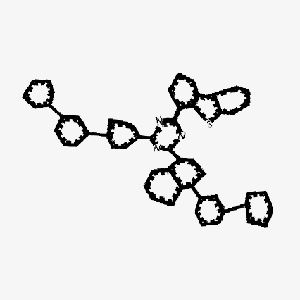 c1ccc(-c2cccc(-c3ccc(-c4nc(-c5ccc(-c6cccc(-c7ccccc7)c6)c6ccccc56)nc(-c5cccc6c5sc5ccccc56)n4)cc3)c2)cc1